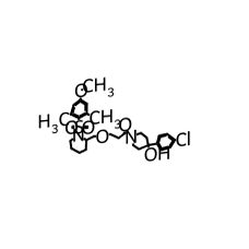 COc1cc(C)c(S(=O)(=O)N2CCCCC2COCCC(=O)N2CCC(O)(c3ccc(Cl)cc3)CC2)c(C)c1